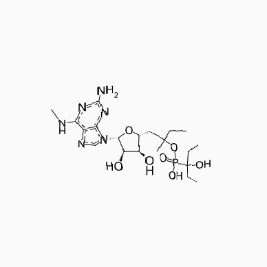 CCC(C)(C[C@H]1O[C@@H](n2cnc3c(NC)nc(N)nc32)[C@H](O)[C@@H]1O)OP(=O)(O)C(O)(CC)CC